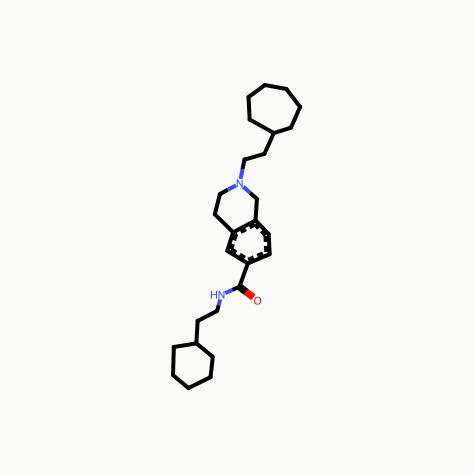 O=C(NCCC1CCCCC1)c1ccc2c(c1)CCN(CCC1CCCCCC1)C2